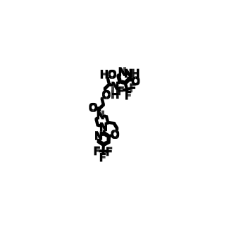 O=C(CCOCC(CO)Nc1cn[nH]c(=O)c1C(F)(F)F)N1CCN2c3ncc(C(F)(F)F)cc3OCCC2C1